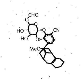 CO/C(=C1\C2CCCC1C1=C(CCCC1)C2)c1ccc(C#N)c(O[C@@H]2OC(OC=O)[C@@H](O)C(O)[C@@H]2O)c1